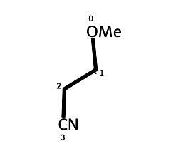 CO[CH]CC#[N+]